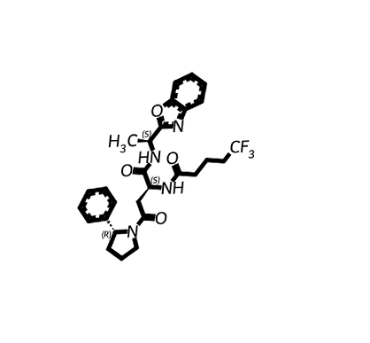 C[C@H](NC(=O)[C@H](CC(=O)N1CCC[C@@H]1c1ccccc1)NC(=O)CCCC(F)(F)F)c1nc2ccccc2o1